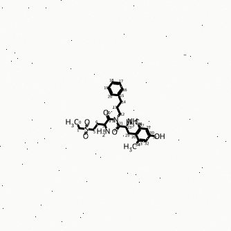 CCS(=O)(=O)CCC(N)C(=O)N(CCCc1ccccc1)C(=O)[C@@H](N)Cc1c(C)cc(O)cc1C